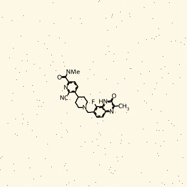 CNC(=O)c1ccc(C2CCN(Cc3ccc4nc(C)c(=O)[nH]c4c3F)CC2)c(C#N)n1